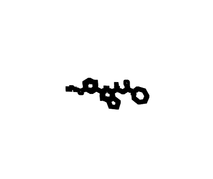 CCCOc1ccnc(-c2nc3c(c(N(C)CC(=O)N4CCCCCC4)n2)CCC3)c1